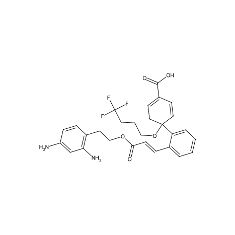 Nc1ccc(CCOC(=O)/C=C/c2ccccc2C2(OCCCC(F)(F)F)C=CC(C(=O)O)=CC2)c(N)c1